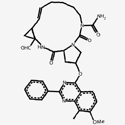 COc1ccc2c(OC3CC4C(=O)NC5([C]=O)CC5/C=C/CCCCN(C(N)=O)C(=O)N4C3)nc(-c3ccccc3)nc2c1C